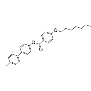 CCCCCCCOc1ccc(C(=O)Oc2ccc(-c3ccc(C)cc3)cc2)cc1